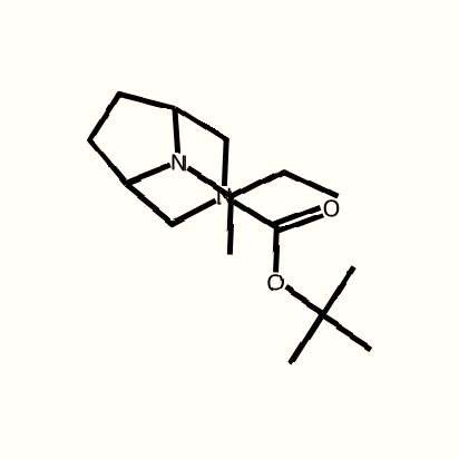 CCC(C)N1C2CCC1CN(C(=O)OC(C)(C)C)C2